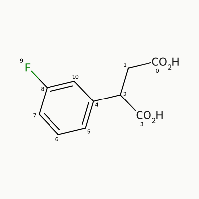 O=C(O)CC(C(=O)O)c1cccc(F)c1